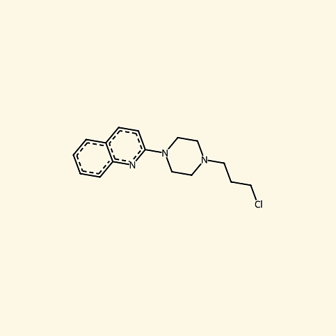 ClCCCN1CCN(c2ccc3ccccc3n2)CC1